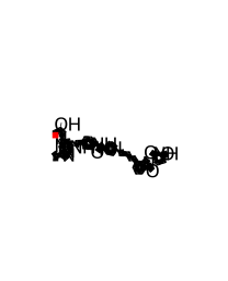 CC(C)c1cnn2c(NCc3ccc(NC(=O)N4CCN(CCCCCc5cccc6c5CN(C5CCC(=O)NC5=O)C6=O)CC4)cc3)cc(N3CC[C@H](O)C3)nc12